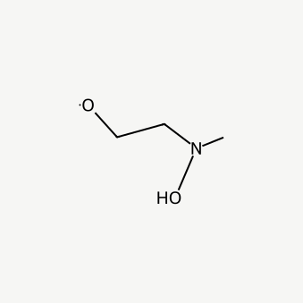 CN(O)CC[O]